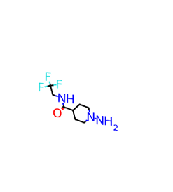 NN1CCC(C(=O)NCC(F)(F)F)CC1